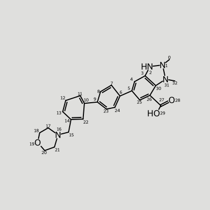 CN1Nc2cc(-c3ccc(-c4cccc(CN5CCOCC5)c4)cc3)cc(C(=O)O)c2N1C